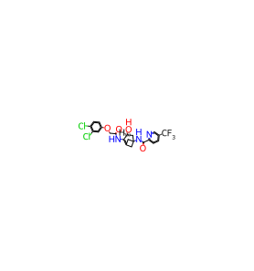 O=C(COc1ccc(Cl)c(Cl)c1)NC1=C2CC(NC(=O)c3ccc(C(F)(F)F)cn3)(C2)C[C@@H]1O